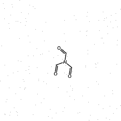 O=[CH][Al]([CH]=O)[CH]=O